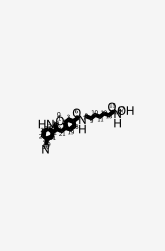 COc1cc(C(=O)NCCCCCCC(=O)NO)ccc1Cc1c[nH]c2ccc(C#N)cc12